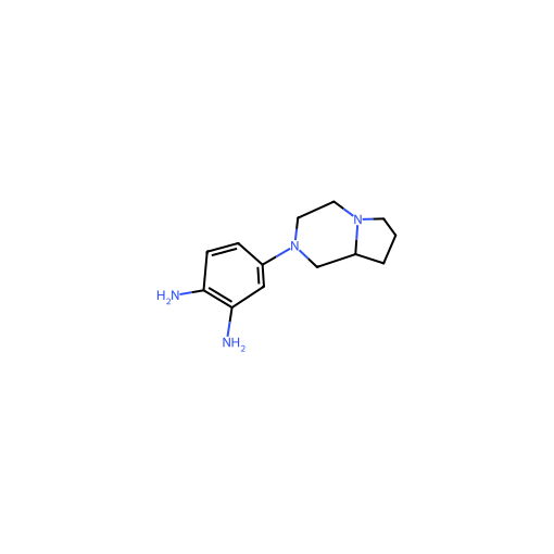 Nc1ccc(N2CCN3CCCC3C2)cc1N